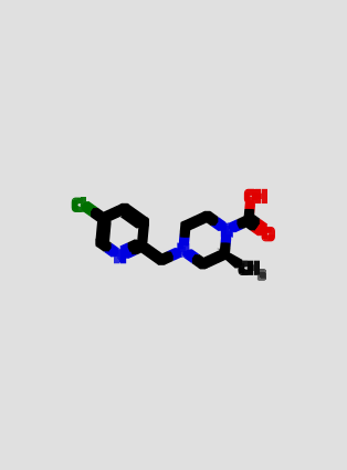 C[C@H]1CN(Cc2ccc(Cl)cn2)CCN1C(=O)O